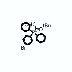 CC(C)(C)OC(C=O)[P+](c1ccccc1)(c1ccccc1)c1ccccc1.[Br-]